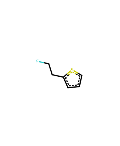 FCCc1cccs1